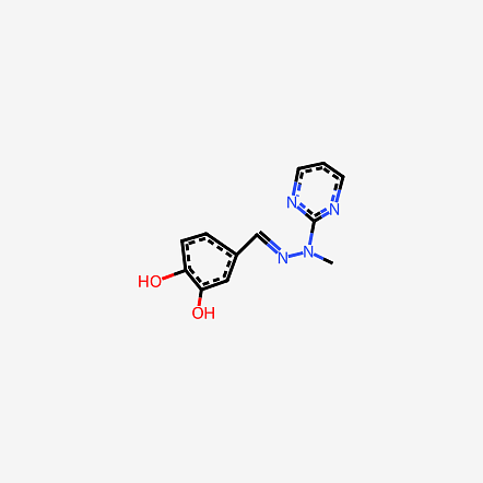 CN(N=Cc1ccc(O)c(O)c1)c1ncccn1